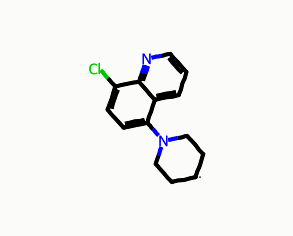 Clc1ccc(N2CC[CH]CC2)c2cccnc12